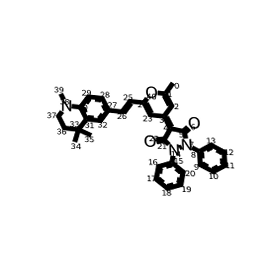 CC1=CC(=C2C(=O)N(c3ccccc3)N(c3ccccc3)C2=O)C=C(/C=C/c2ccc3c(c2)C(C)(C)CCN3C)O1